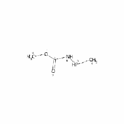 COC(=O)NPC